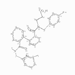 Cc1cccc(CN(C)C(=O)c2ccccc2-c2ccccc2C(=O)N(CCC(=O)O)Cc2ccc(F)cc2)n1